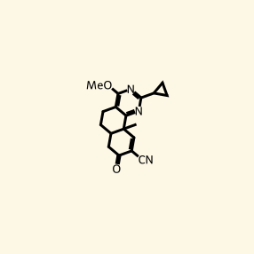 COc1nc(C2CC2)nc2c1CCC1CC(=O)C(C#N)=CC21C